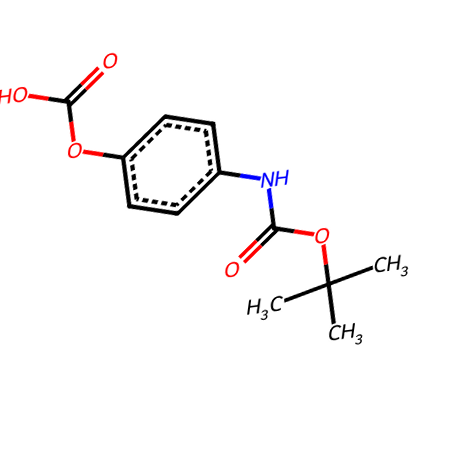 CC(C)(C)OC(=O)Nc1ccc(OC(=O)O)cc1